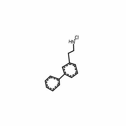 ClNCCc1cccc(-c2ccccc2)c1